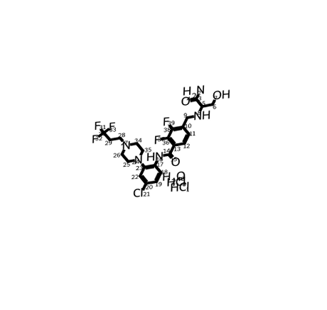 Cl.Cl.NC(=O)C(CO)NCc1ccc(C(=O)Nc2ccc(Cl)cc2N2CCN(CCC(F)(F)F)CC2)c(F)c1F.O